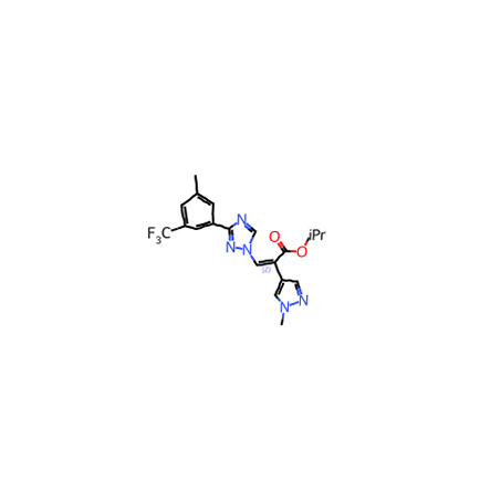 Cc1cc(-c2ncn(/C=C(\C(=O)OC(C)C)c3cnn(C)c3)n2)cc(C(F)(F)F)c1